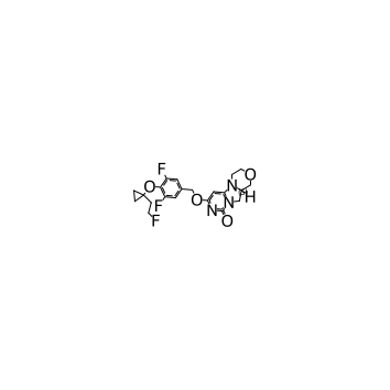 O=c1nc(OCc2cc(F)c(OC3(CCF)CC3)c(F)c2)cc2n1C[C@H]1COCCN21